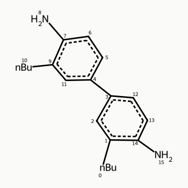 CCCCc1cc(-c2ccc(N)c(CCCC)c2)ccc1N